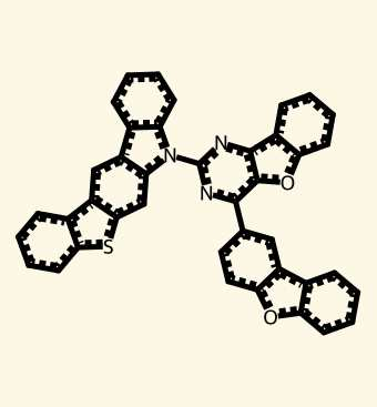 c1ccc2c(c1)oc1ccc(-c3nc(-n4c5ccccc5c5cc6c(cc54)sc4ccccc46)nc4c3oc3ccccc34)cc12